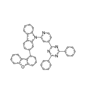 c1ccc(-c2nc(-c3ccccc3)nc(-c3ccnc(-n4c5ccccc5c5ccc(-c6cccc7oc8ccccc8c67)cc54)c3)n2)cc1